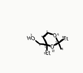 CCC1(CO)CCOC(C)(CC)O1